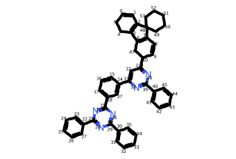 C1=CC2=C(CC1)C1=C(C=CC(c3cc(-c4cccc(-c5nc(-c6ccccc6)nc(-c6ccccc6)n5)c4)nc(-c4ccccc4)n3)C1)C21CCCCC1